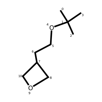 CC(C)(C)OCCC1COC1